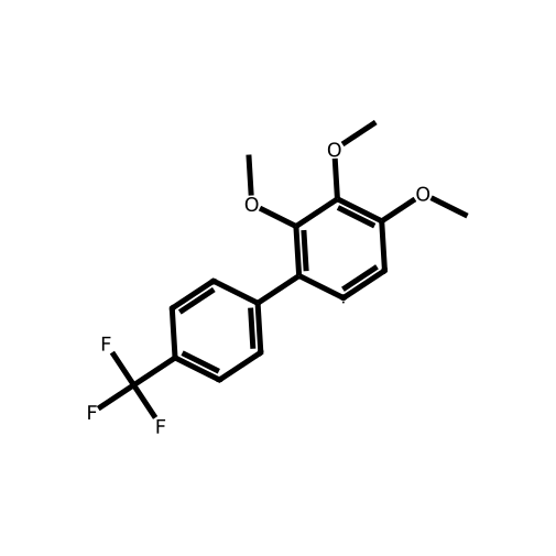 COc1c[c]c(-c2ccc(C(F)(F)F)cc2)c(OC)c1OC